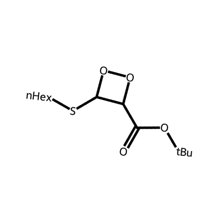 CCCCCCSC1OOC1C(=O)OC(C)(C)C